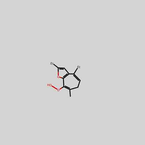 CCC1=CCC(C)=C(OO)c2oc(CC)cc21